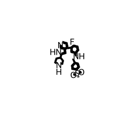 CS(=O)(=O)c1ccc(CNc2ccc(F)c(-c3ccnc4[nH]c(C5CCNCC5)cc34)c2)cc1